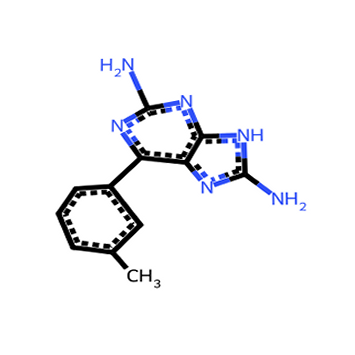 Cc1cccc(-c2nc(N)nc3[nH]c(N)nc23)c1